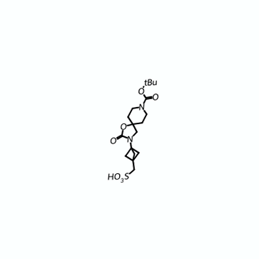 CC(C)(C)OC(=O)N1CCC2(CC1)CN(C13CC(CS(=O)(=O)O)(C1)C3)C(=O)O2